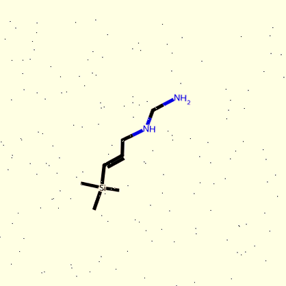 C[Si](C)(C)C=CCNCN